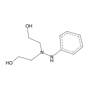 OCCN(CCO)Nc1ccccc1